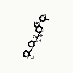 Cc1cc(-n2ncc3cc(NC(=O)NC4CCCN(Cc5cccnc5Cl)C4)ncc32)ccn1